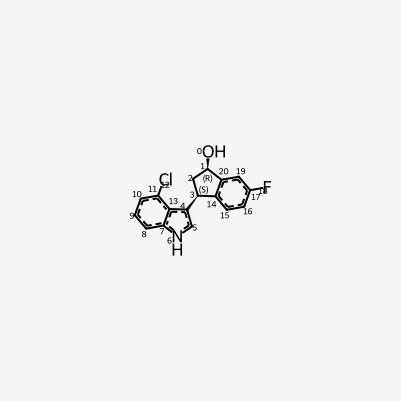 O[C@@H]1C[C@H](c2c[nH]c3cccc(Cl)c23)c2ccc(F)cc21